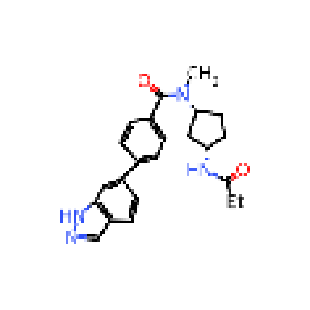 CCC(=O)N[C@H]1CC[C@@H](N(C)C(=O)c2ccc(-c3ccc4cn[nH]c4c3)cc2)C1